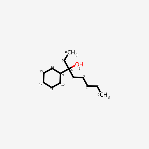 CCCCCC(O)(CC)C1CCCCC1